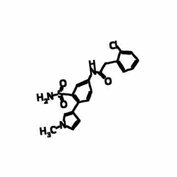 Cn1ccc(-c2ccc(NC(=O)Cc3ccccc3Cl)cc2S(N)(=O)=O)c1